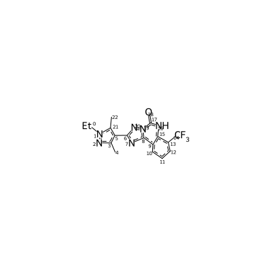 CCn1nc(C)c(-c2nc3c4cccc(C(F)(F)F)c4[nH]c(=O)n3n2)c1C